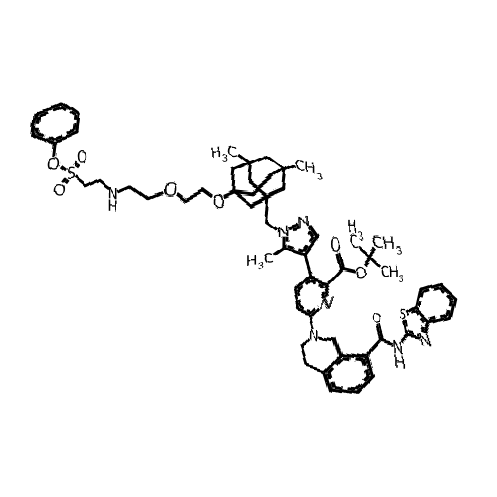 Cc1c(-c2ccc(N3CCc4cccc(C(=O)Nc5nc6ccccc6s5)c4C3)nc2C(=O)OC(C)(C)C)cnn1CC12CC3(C)CC(C)(C1)CC(OCCOCCNCCS(=O)(=O)Oc1ccccc1)(C3)C2